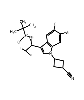 CC(C)(C)[S+]([O-])N[C@@H](c1cn(C2CC(C#N)C2)c2cc(Br)c(F)cc12)C(F)F